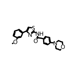 COc1cccc(-c2csc(NC(=O)c3ccc(N4CCOCC4)cc3)n2)c1